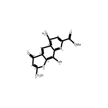 CCCc1c2nc(C(=O)OC)cc(N)c2cc2c(=O)cc(C(=O)OCC)oc12